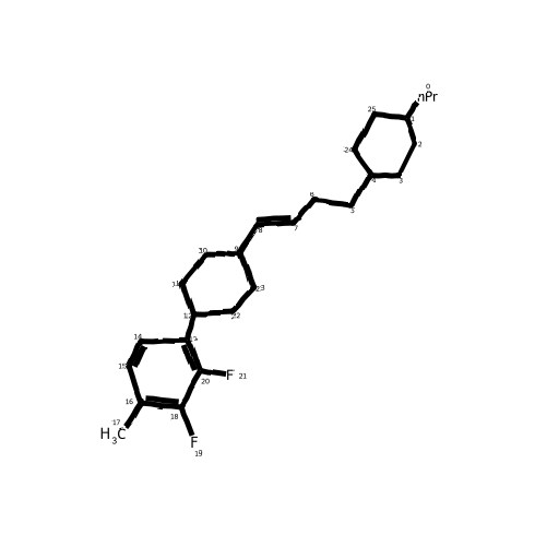 CCCC1CCC(CC/C=C/C2CCC(c3ccc(C)c(F)c3F)CC2)CC1